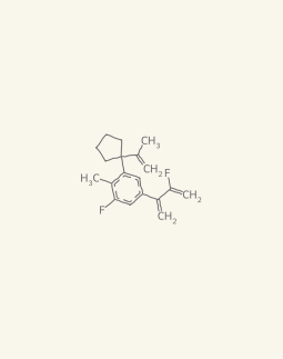 C=C(F)C(=C)c1cc(F)c(C)c(C2(C(=C)C)CCCC2)c1